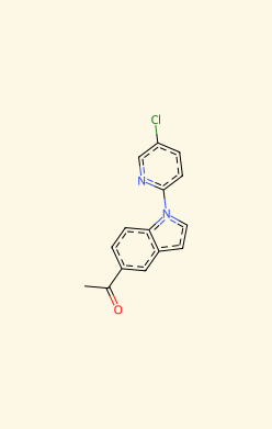 CC(=O)c1ccc2c(ccn2-c2ccc(Cl)cn2)c1